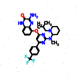 CC(C)CN1CCCCC1N(C)c1nc(Oc2cccc3[nH]c(=O)c(N)nc23)cc(-c2ccc(C(F)(F)F)cc2)n1